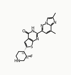 Cc1cn2nc(-c3nc4sc([C@H]5CCNC[C@@H]5F)cc4c(=O)[nH]3)cc(C)c2n1